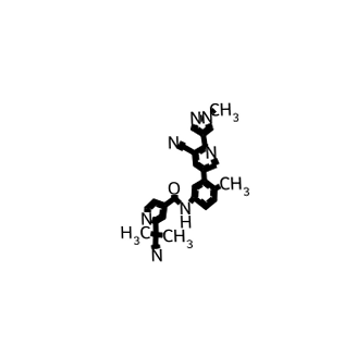 Cc1ccc(NC(=O)c2ccnc(C(C)(C)C#N)c2)cc1-c1cnc(-c2cnn(C)c2)c(C#N)c1